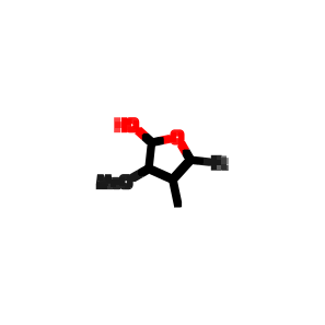 CCC1OC(O)C(OC)C1C